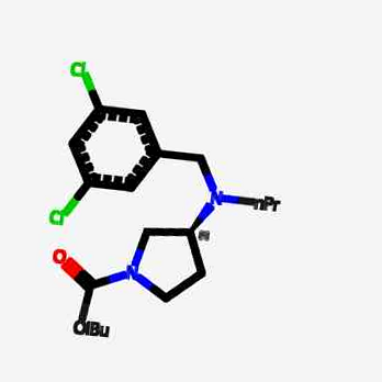 CCCN(Cc1cc(Cl)cc(Cl)c1)[C@H]1CCN(C(=O)OCC(C)C)C1